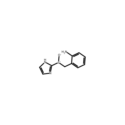 Nc1ccccc1C[S+]([O-])c1ncc[nH]1